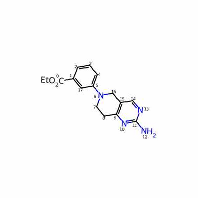 CCOC(=O)c1cccc(N2CCc3nc(N)ncc3C2)c1